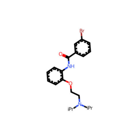 CC(C)N(CCOc1ccccc1NC(=O)c1cccc(Br)c1)C(C)C